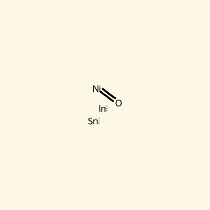 [In].[O]=[Ni].[Sn]